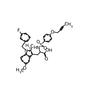 CC#CCOc1ccc(S(=O)(=O)NC(Cc2c(C)n(Cc3cccc(F)c3)c3ccc(OC)cc23)C(=O)O)cc1